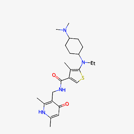 CCN(c1scc(C(=O)NCc2c(C)[nH]c(C)cc2=O)c1C)C1CCC(N(C)C)CC1